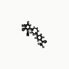 Cc1cc(N2CCCN(c3ccc(C(=O)N(C)C)cc3)CC2)c(C#N)c(=O)[nH]1